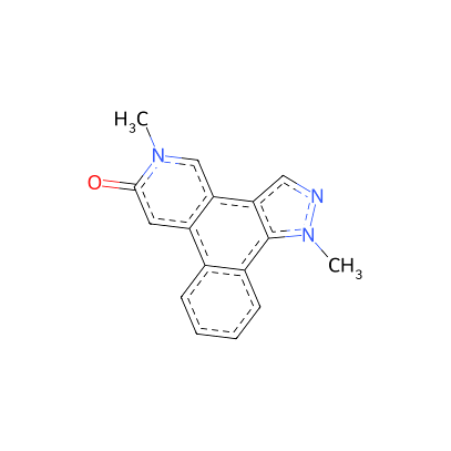 Cn1cc2c(cc1=O)c1ccccc1c1c2cnn1C